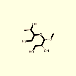 CO[C@@H](OC(CS)[C@@H](C)O)[C@H](O)CO